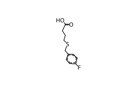 O=C(O)CCCSCc1ccc(F)cc1